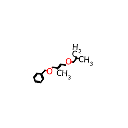 C=C(C)COC/C=C(\C)COCc1ccccc1